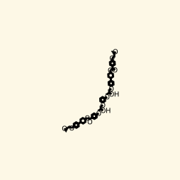 O=C(OC1CCC(c2ccc(OCC(O)COc3cccc(OCC(O)COc4ccc(C(=O)OC5CCC(c6ccc(OCC7CO7)cc6)CC5)cc4)c3)cc2)CC1)c1ccc(OCC2CO2)cc1